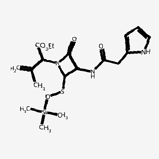 C=C(C)C(C(=O)OCC)N1C(=O)C(NC(=O)Cc2ccc[nH]2)C1SO[Si](C)(C)C